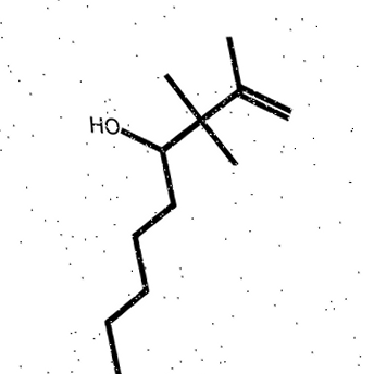 C=C(C)C(C)(C)C(O)CCCCC